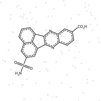 NS(=O)(=O)c1cc2c3c(cccc3c1)-c1nc3cc(C(=O)O)ccc3nc1-2